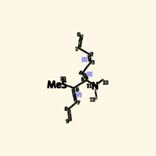 C=C\C=C/C=C(/C(=C/C=C)SC)N(C)C